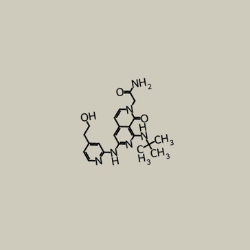 CC(C)(C)Nc1nc(Nc2cc(CCO)ccn2)cc2ccn(CC(N)=O)c(=O)c12